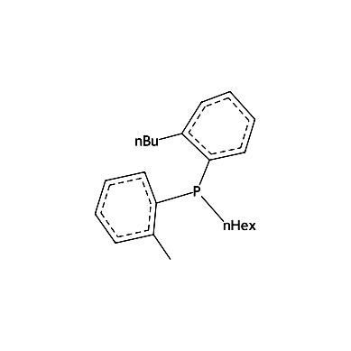 CCCCCCP(c1ccccc1C)c1ccccc1CCCC